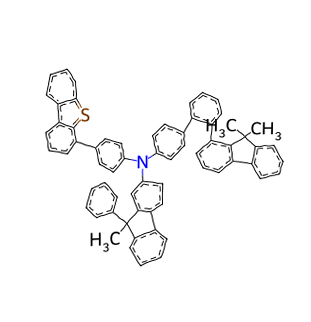 CC1(C)c2ccccc2-c2cccc(-c3ccccc3-c3ccc(N(c4ccc(-c5cccc6c5sc5ccccc56)cc4)c4ccc5c(c4)C(C)(c4ccccc4)c4ccccc4-5)cc3)c21